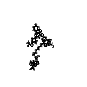 CC(I)Oc1ccc(-c2nc(O[C@@H]3C[C@@H](C(N)=O)N(C(=O)CCCCCC/C=C\[C@@H]4C[C@@H]4C(=O)NS(=O)(=O)C4CC4)C3)c3oc4ccccc4c3n2)cc1